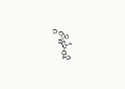 N#Cc1cc(-c2ccc3sc4ccccc4c3c2)cc2c1sc1c(-n3c4ccccc4c4ccc(-c5ccccc5)cc43)cccc12